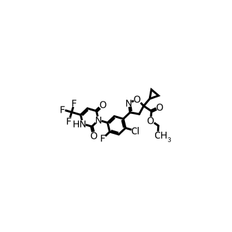 CCOC(=O)C1(C2CC2)CC(c2cc(-n3c(=O)cc(C(F)(F)F)[nH]c3=O)c(F)cc2Cl)=NO1